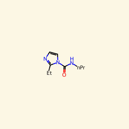 CCCNC(=O)n1ccnc1CC